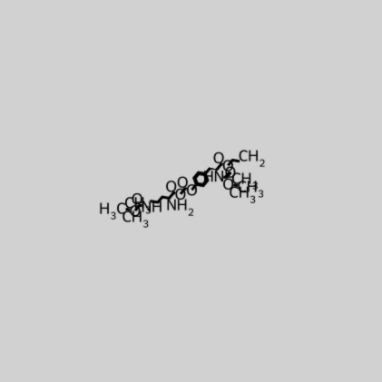 C=CCOC(=O)[C@H](Cc1ccc(OC(=O)OC(=O)[C@@H](N)CCCNC(=O)OC(C)(C)C)cc1)NC(=O)OC(C)(C)C